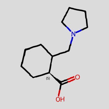 O=C(O)[C@H]1CCCCC1CN1CCCC1